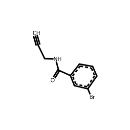 C#CCNC(=O)c1cccc(Br)c1